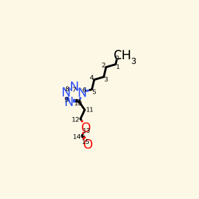 CCCCCCn1nnnc1CCOC=O